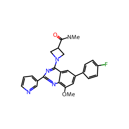 CNC(=O)C1CN(c2nc(-c3cccnc3)nc3c(OC)cc(-c4ccc(F)cc4)cc23)C1